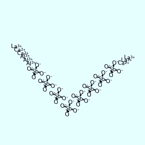 [Al+3].[Al+3].[Al+3].[Ca+2].[Ca+2].[Ca+2].[La+3].[La+3].[La+3].[O]=[Sb]([O-])([O-])[O-].[O]=[Sb]([O-])([O-])[O-].[O]=[Sb]([O-])([O-])[O-].[O]=[Sb]([O-])([O-])[O-].[O]=[Sb]([O-])([O-])[O-].[O]=[Sb]([O-])([O-])[O-].[O]=[Sb]([O-])([O-])[O-].[O]=[Sb]([O-])([O-])[O-]